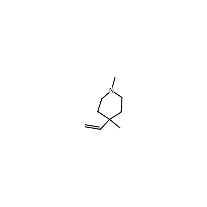 C=CC1(C)CCN(C)CC1